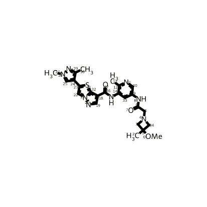 COC1(C)CN(CC(=O)Nc2cnc(C)c(NC(=O)c3cnn4cc(-c5cn(C)nc5C)sc34)c2)C1